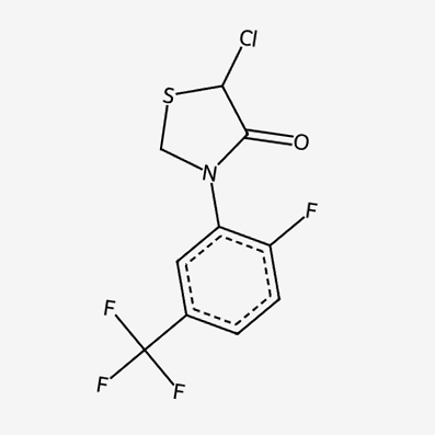 O=C1C(Cl)SCN1c1cc(C(F)(F)F)ccc1F